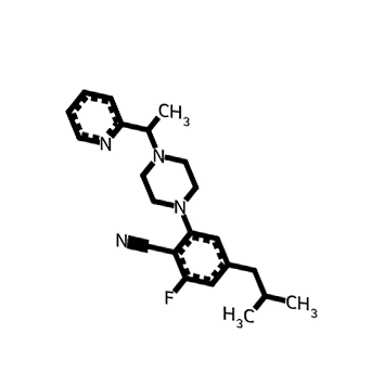 CC(C)Cc1cc(F)c(C#N)c(N2CCN(C(C)c3ccccn3)CC2)c1